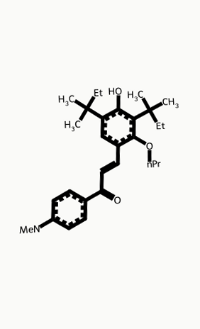 CCCOc1c(C=CC(=O)c2ccc(NC)cc2)cc(C(C)(C)CC)c(O)c1C(C)(C)CC